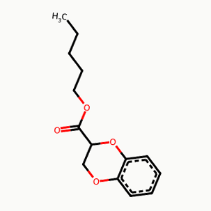 CCCCCOC(=O)C1COc2ccccc2O1